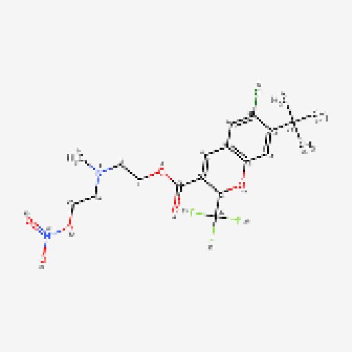 CN(CCOC(=O)C1=Cc2cc(Cl)c(C(C)(C)C)cc2OC1C(F)(F)F)CCO[N+](=O)[O-]